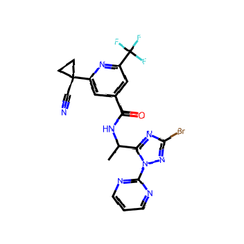 CC(NC(=O)c1cc(C(F)(F)F)nc(C2(C#N)CC2)c1)c1nc(Br)nn1-c1ncccn1